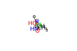 CC1(C)CC(=O)Nc2ccc(C(O)CN3CCCC(Cc4ccccc4)C3)c(Cl)c21